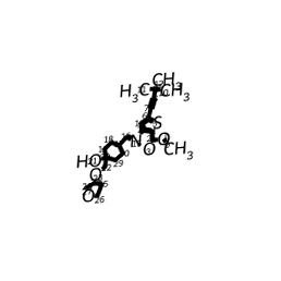 COC(=O)c1sc(C#CC(C)(C)C)cc1/N=C/C1CCC(O)(CO[C@H]2CCOC2)CC1